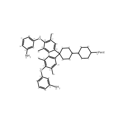 CCCCCC1CCC(C2CCC(c3cc(C)c(Oc4cccc(N)c4)c(C)c3)(c3cc(C)c(Oc4cccc(N)c4)c(C)c3)CC2)CC1